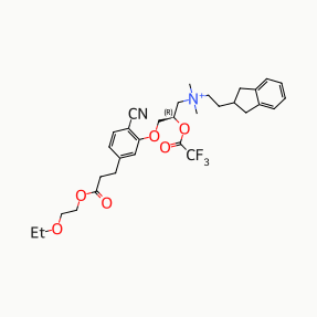 CCOCCOC(=O)CCc1ccc(C#N)c(OC[C@@H](C[N+](C)(C)CCC2Cc3ccccc3C2)OC(=O)C(F)(F)F)c1